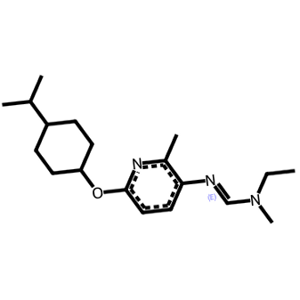 CCN(C)/C=N/c1ccc(OC2CCC(C(C)C)CC2)nc1C